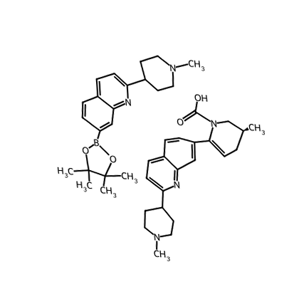 CN1CCC(c2ccc3ccc(B4OC(C)(C)C(C)(C)O4)cc3n2)CC1.C[C@H]1CC=C(c2ccc3ccc(C4CCN(C)CC4)nc3c2)N(C(=O)O)C1